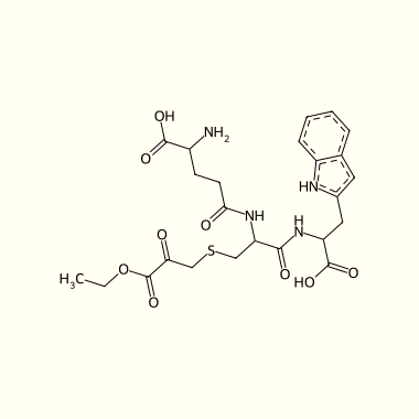 CCOC(=O)C(=O)CSCC(NC(=O)CCC(N)C(=O)O)C(=O)NC(Cc1cc2ccccc2[nH]1)C(=O)O